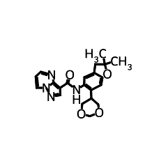 CC1(C)Cc2cc(NC(=O)c3cnn4cccnc34)c(C3COCOC3)cc2O1